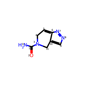 NC(=O)N1CC=C2N=NC=C2C1